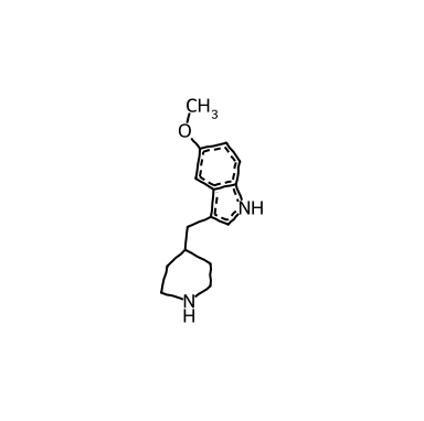 COc1ccc2[nH]cc(CC3CCNCC3)c2c1